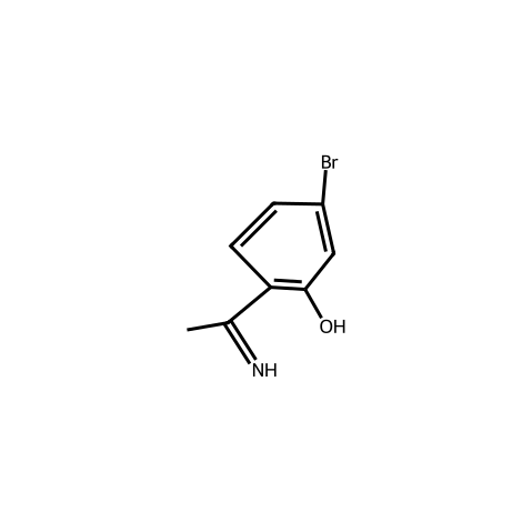 CC(=N)c1ccc(Br)cc1O